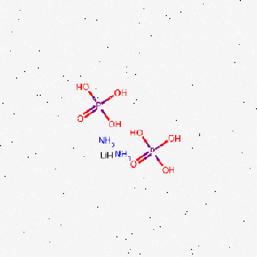 N.N.O=P(O)(O)O.O=P(O)(O)O.[LiH]